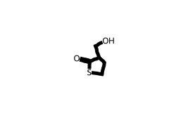 O=C1SCCC1CO